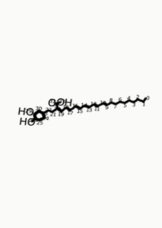 CCCCCCCCCC=CC=CC=CC=CC=CC=C(CCc1ccc(O)c(O)c1)C(=O)O